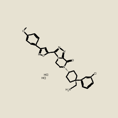 COc1ccc(-c2cc(-c3nnc4n3CCN([C@H]3CC[C@@](CN)(c5cccc(Cl)c5)CC3)C4=O)on2)cc1.Cl.Cl